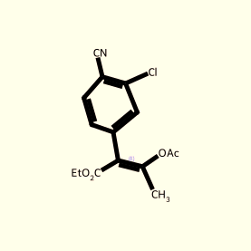 CCOC(=O)/C(=C(\C)OC(C)=O)c1ccc(C#N)c(Cl)c1